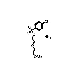 COCCOCCOS(=O)(=O)c1ccc(C)cc1.N